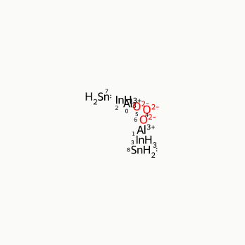 [Al+3].[Al+3].[InH3].[InH3].[O-2].[O-2].[O-2].[SnH2].[SnH2]